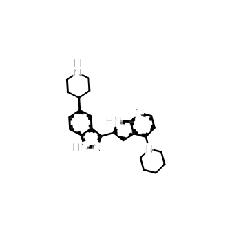 c1cc(N2CCCCC2)c2cc(-c3n[nH]c4ccc(C5CCNCC5)cc34)[nH]c2n1